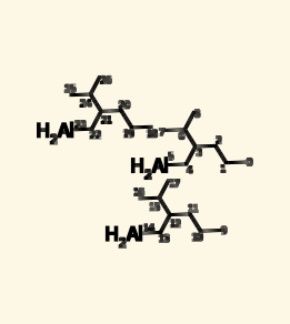 CCCC([CH2][AlH2])C(C)C.CCCC([CH2][AlH2])C(C)C.CCCC([CH2][AlH2])C(C)C